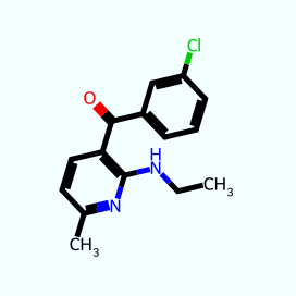 CCNc1nc(C)ccc1C(=O)c1cccc(Cl)c1